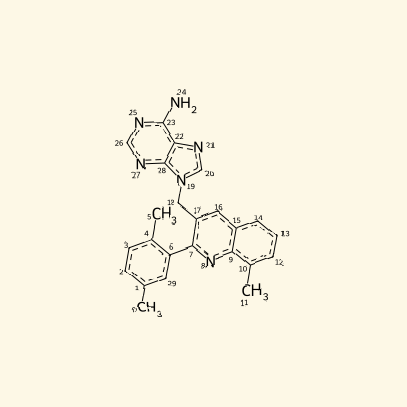 Cc1ccc(C)c(-c2nc3c(C)cccc3cc2Cn2cnc3c(N)ncnc32)c1